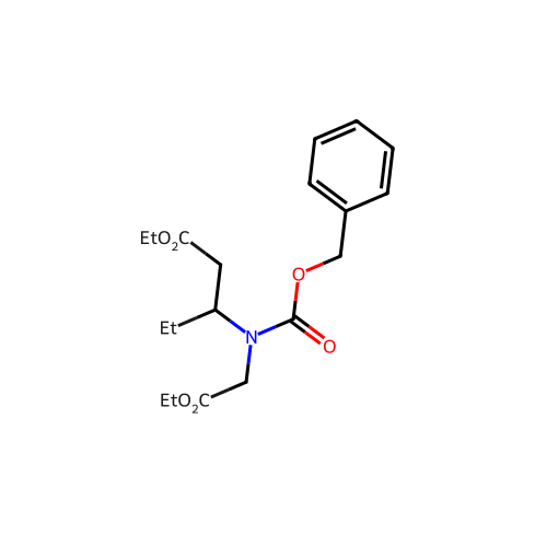 CCOC(=O)CC(CC)N(CC(=O)OCC)C(=O)OCc1ccccc1